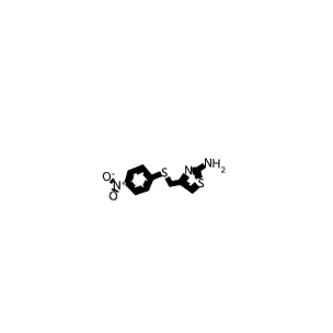 Nc1nc(CSc2ccc([N+](=O)[O-])cc2)cs1